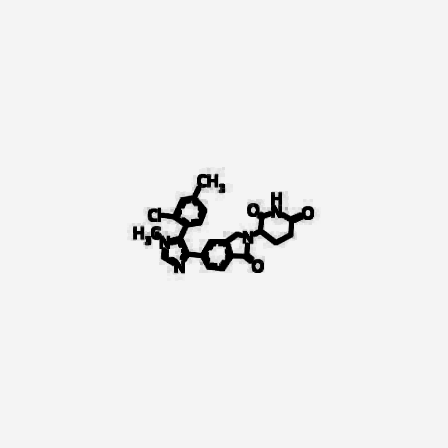 Cc1ccc(-c2c(-c3ccc4c(c3)CN(C3CCC(=O)NC3=O)C4=O)ncn2C)c(Cl)c1